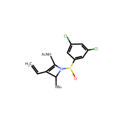 C=CC1=C(NC(C)=O)N([S+]([O-])c2cc(Cl)cc(Cl)c2)C1CCCC